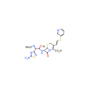 CO/N=C(/C(=O)NC1C(=O)N2C(C(=O)O)=C(/C=C/Sc3cccnc3)CS[C@H]12)c1nsc(N)n1